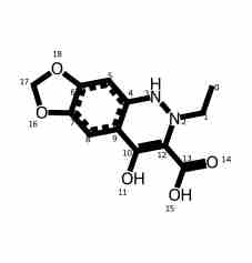 CCN1Nc2cc3c(cc2C(O)=C1C(=O)O)OCO3